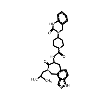 CC(C)CN1Cc2c(ccc3[nH]ncc23)CC(NC(=O)N2CCC(N3Cc4ccccc4NC3=O)CC2)C1=O